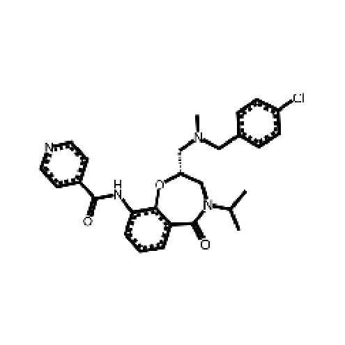 CC(C)N1C[C@@H](CN(C)Cc2ccc(Cl)cc2)Oc2c(NC(=O)c3ccncc3)cccc2C1=O